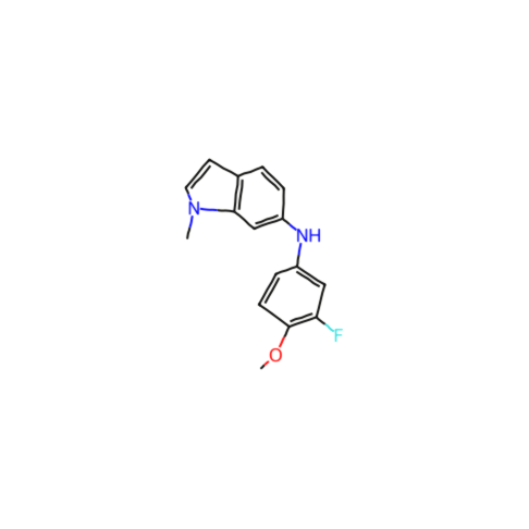 COc1ccc(Nc2ccc3ccn(C)c3c2)cc1F